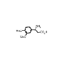 COc1ccc([C@@H](N)CC(=O)O)cc1OC